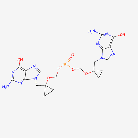 Nc1nc(O)c2ncn(CC3(OCO[PH](=O)OCOC4(Cn5cnc6c(O)nc(N)nc65)CC4)CC3)c2n1